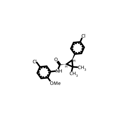 COc1ccc(Cl)cc1NC(=O)[C@@H]1[C@@H](c2ccc(Cl)cc2)C1(C)C